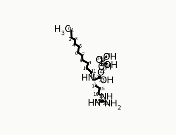 CCCCCCCCCCCCN[C@@H](CCCNC(=N)N)C(=O)O.O=P(O)(O)O